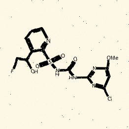 COc1cc(Cl)nc(NC(=O)NS(=O)(=O)c2ncccc2C(O)CF)n1